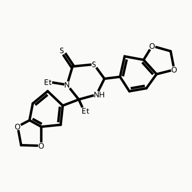 CCN1C(=S)SC(c2ccc3c(c2)OCO3)NC1(CC)c1ccc2c(c1)OCO2